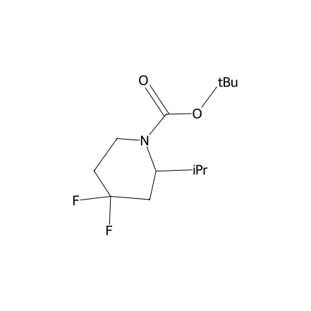 CC(C)C1CC(F)(F)CCN1C(=O)OC(C)(C)C